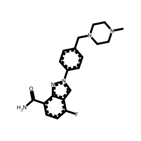 CN1CCN(Cc2ccc(-n3cc4c(F)ccc(C(N)=O)c4n3)cc2)CC1